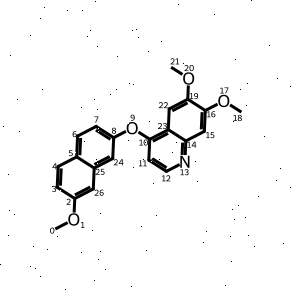 COc1ccc2ccc(Oc3ccnc4cc(OC)c(OC)cc34)cc2c1